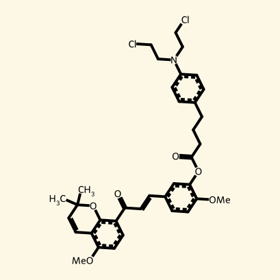 COc1ccc(C=CC(=O)c2ccc(OC)c3c2OC(C)(C)C=C3)cc1OC(=O)CCCc1ccc(N(CCCl)CCCl)cc1